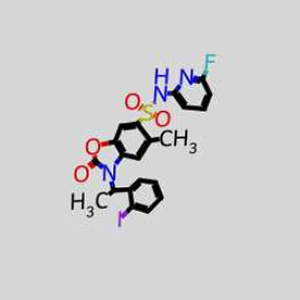 Cc1cc2c(cc1S(=O)(=O)Nc1cccc(F)n1)oc(=O)n2C(C)c1ccccc1I